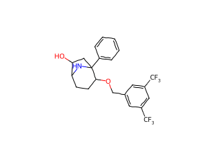 OC1CC2(c3ccccc3)NC1CCC2OCc1cc(C(F)(F)F)cc(C(F)(F)F)c1